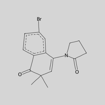 CC1(C)C=C(N2CCCC2=O)c2cc(Br)ccc2C1=O